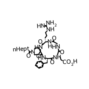 CCCCCCCC(=O)N1CCC2(CC1)NC(=O)[C@H](CCCNC(=N)N)NC(=O)CNC(=O)[C@H](CCC(=O)O)NC(=O)[C@@H](Cc1ccccc1)NC2=O